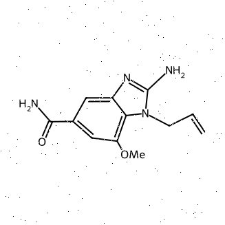 C=CCn1c(N)nc2cc(C(N)=O)cc(OC)c21